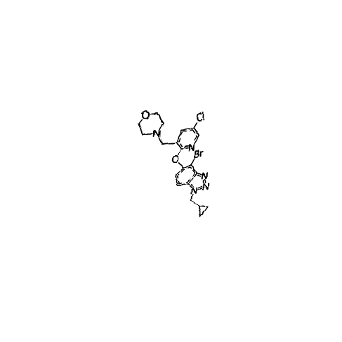 Clc1cnc(Oc2ccc3c(nnn3CC3CC3)c2Br)c(CN2CCOCC2)c1